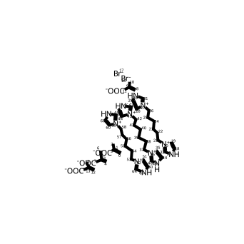 C=C(C)C(=O)[O-].C=C(C)C(=O)[O-].C=C(C)C(=O)[O-].C=C(C)C(=O)[O-].[Br-].[Br-].c1c[n+](CCCCCC[n+]2cc[nH]c2)c[nH]1.c1c[n+](CCCCCC[n+]2cc[nH]c2)c[nH]1.c1c[n+](CCCCCC[n+]2cc[nH]c2)c[nH]1